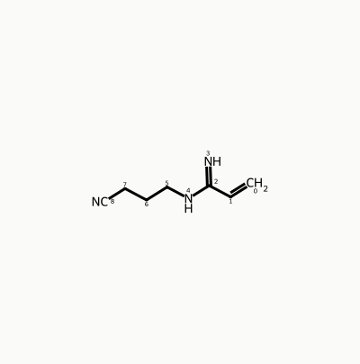 C=CC(=N)NCCCC#N